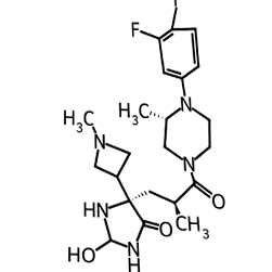 C[C@@H](C[C@@]1(C2CN(C)C2)NC(O)NC1=O)C(=O)N1CCN(c2ccc(F)c(F)c2)[C@@H](C)C1